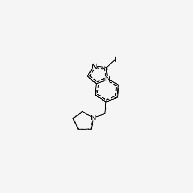 Ic1ncc2cc(CN3CCCC3)ccn12